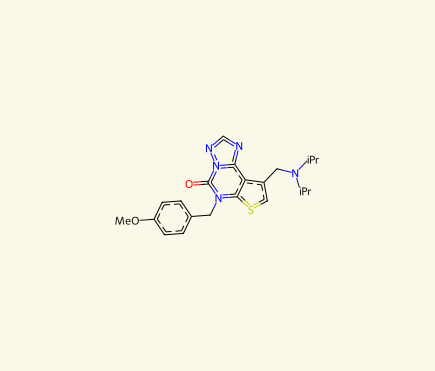 COc1ccc(Cn2c(=O)n3ncnc3c3c(CN(C(C)C)C(C)C)csc32)cc1